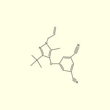 C=CCn1nc(C(C)(C)C)c(Oc2cc(C#N)cc(C#N)c2)c1C